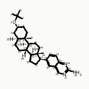 CC(C)(C)O[C@H]1CC[C@@]2(C)[C@@H](CC[C@@H]3[C@@H]2CC[C@]2(C)[C@@H](c4ccc5nc(N)ncc5c4)CC[C@@H]32)C1